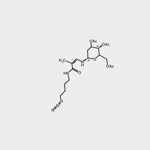 CC(=O)OCC1O[C@@H](N/C=C(/C)C(=O)NCCCCN=[N+]=[N-])CC(OC(C)=O)[C@H]1OC(C)=O